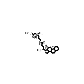 CC(C[N+](C)(C)CCCNC(=O)CC[C@@H](C)[C@H]1CCC2C3CCC4CCCC[C@]4(C)C3CC[C@@]21C)S(=O)(=O)O